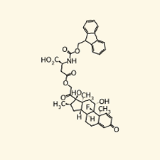 C[C@@H]1C[C@H]2[C@@H]3CCC4=CC(=O)C=C[C@]4(C)[C@@]3(F)[C@@H](O)C[C@]2(C)[C@@]1(O)C(=O)COC(=O)C[C@H](NC(=O)OCC1c2ccccc2-c2ccccc21)C(=O)O